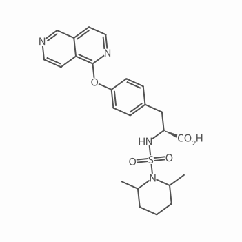 CC1CCCC(C)N1S(=O)(=O)N[C@@H](Cc1ccc(Oc2nccc3cnccc23)cc1)C(=O)O